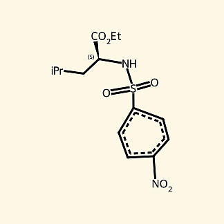 CCOC(=O)[C@H](CC(C)C)NS(=O)(=O)c1ccc([N+](=O)[O-])cc1